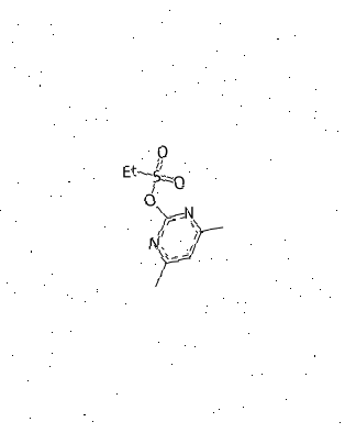 CCS(=O)(=O)Oc1nc(C)cc(C)n1